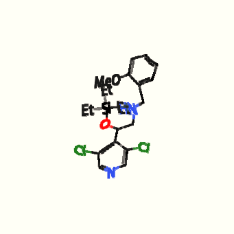 CC[Si](CC)(CC)OC(CNCc1ccccc1OC)c1c(Cl)cncc1Cl